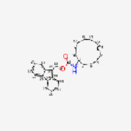 O=C(NC1CCCCCCCCCCC1)OCC1c2ccccc2-c2ccccc21